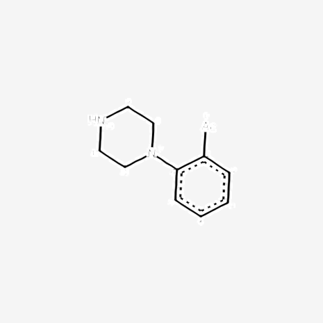 CC(=O)c1ccccc1N1CCNCC1